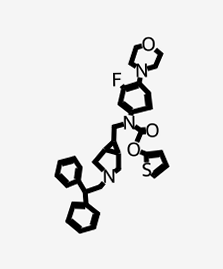 O=C(Oc1cccs1)N(CC1C2CN(CC(c3ccccc3)c3ccccc3)CC21)c1ccc(N2CCOCC2)c(F)c1